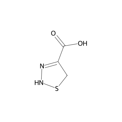 O=C(O)C1=NNSC1